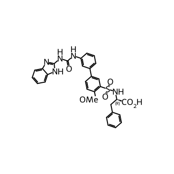 COc1ccc(-c2cccc(NC(=O)Nc3nc4ccccc4[nH]3)c2)cc1S(=O)(=O)N[C@H](Cc1ccccc1)C(=O)O